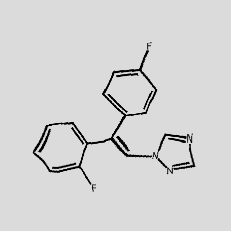 Fc1ccc(/C(=C\n2cncn2)c2ccccc2F)cc1